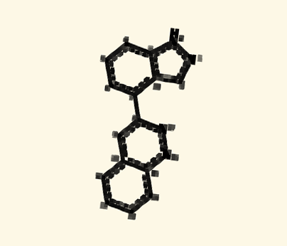 [c]1n[nH]c2cccc(-c3cc4ccccc4nn3)c12